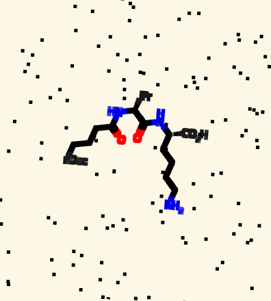 CCCCCCCCCCCCCC(=O)N[C@H](C(=O)N[C@@H](CCCCN)C(=O)O)C(C)C